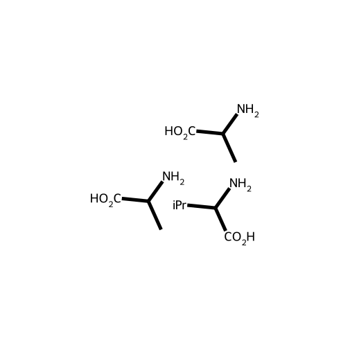 CC(C)C(N)C(=O)O.CC(N)C(=O)O.CC(N)C(=O)O